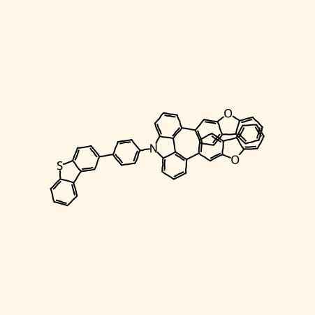 c1ccc2c(c1)oc1cc(-c3cccc4c3c3c(-c5ccc6c(c5)oc5ccccc56)cccc3n4-c3ccc(-c4ccc5sc6ccccc6c5c4)cc3)ccc12